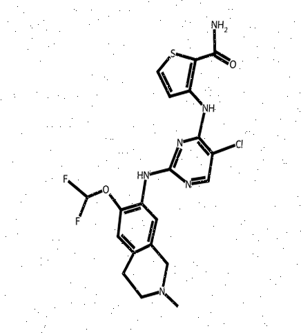 CN1CCc2cc(OC(F)F)c(Nc3ncc(Cl)c(Nc4ccsc4C(N)=O)n3)cc2C1